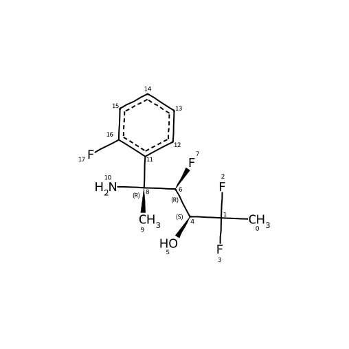 CC(F)(F)[C@@H](O)[C@H](F)[C@](C)(N)c1ccccc1F